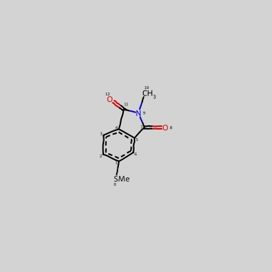 CSc1ccc2c(c1)C(=O)N(C)C2=O